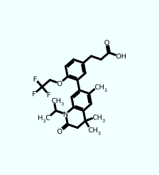 Cc1cc2c(cc1-c1cc(CCC(=O)O)ccc1OCC(F)(F)F)N(C(C)C)C(=O)CC2(C)C